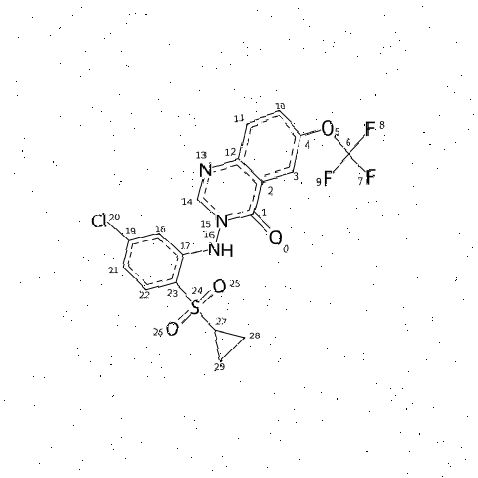 O=c1c2cc(OC(F)(F)F)ccc2ncn1Nc1cc(Cl)ccc1S(=O)(=O)C1CC1